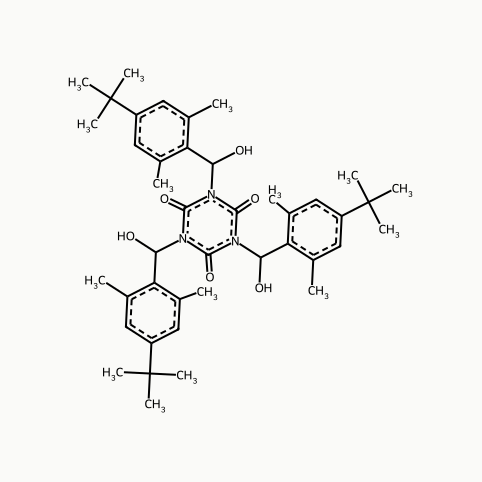 Cc1cc(C(C)(C)C)cc(C)c1C(O)n1c(=O)n(C(O)c2c(C)cc(C(C)(C)C)cc2C)c(=O)n(C(O)c2c(C)cc(C(C)(C)C)cc2C)c1=O